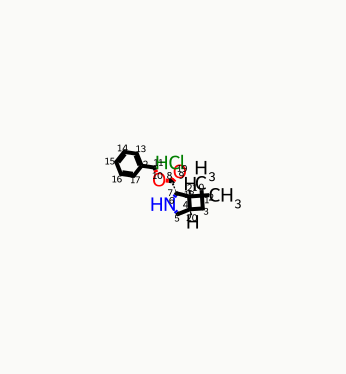 CC1(C)C[C@H]2CN[C@H](C(=O)OCc3ccccc3)[C@H]21.Cl